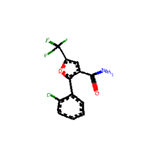 NC(=O)c1cc(C(F)(F)F)oc1-c1ccccc1Cl